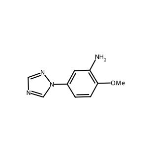 COc1ccc(-n2cncn2)cc1N